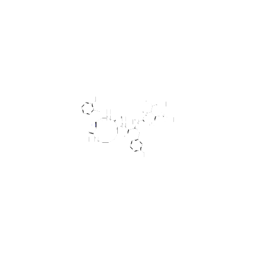 COC(=O)C(NC(=O)N[C@@H](Cc1cccc(F)c1)C(=O)N[C@H]1CCCCNC(=O)/C=C/[C@H](Cc2ccccc2F)NC1=O)C(C)C